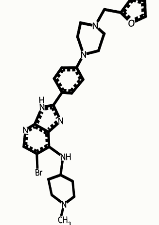 CN1CCC(Nc2c(Br)cnc3[nH]c(-c4ccc(N5CCN(Cc6ccco6)CC5)cc4)nc23)CC1